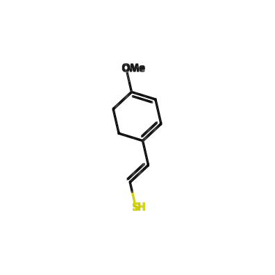 COC1=CC=C(/C=C/S)CC1